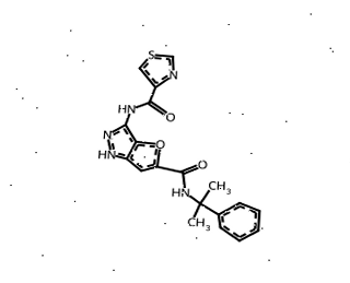 CC(C)(NC(=O)c1cc2[nH]nc(NC(=O)c3cscn3)c2o1)c1ccccc1